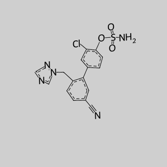 N#Cc1ccc(Cn2cncn2)c(-c2ccc(OS(N)(=O)=O)c(Cl)c2)c1